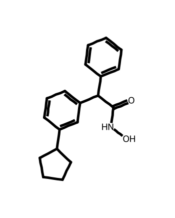 O=C(NO)C(c1ccccc1)c1cccc(C2CCCC2)c1